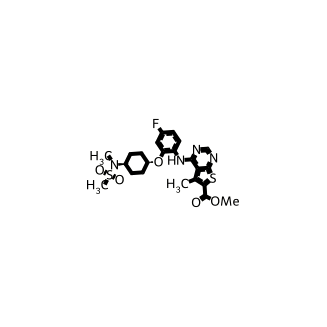 COC(=O)c1sc2ncnc(Nc3ccc(F)cc3O[C@H]3CC[C@H](N(C)S(C)(=O)=O)CC3)c2c1C